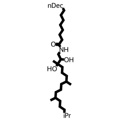 CCCCCCCCCCCCCCCCCC(=O)NCC(O)C(C)(O)CCCC(C)CCCC(C)CCCC(C)C